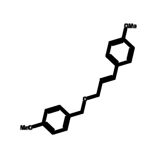 COc1ccc(C=CCOCc2ccc(OC)cc2)cc1